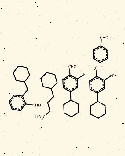 CCCc1cc(C2CCCCC2)ccc1C=O.CCc1cc(C2CCCCC2)ccc1C=O.O=C(O)CCCC1CCCCC1.O=Cc1ccccc1.O=Cc1ccccc1CC1CCCCC1